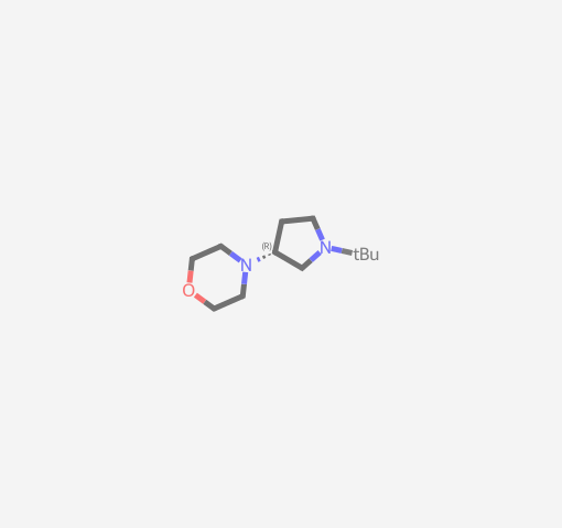 CC(C)(C)N1CC[C@@H](N2CCOCC2)C1